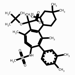 CC1=C=C(NS(C)(=O)=O)C(c2ccc(C)c(C)c2)=C(C)C(C2CCC(C)(C)CC2C)=C1C(C)(OC(C)(C)C)C(=O)O